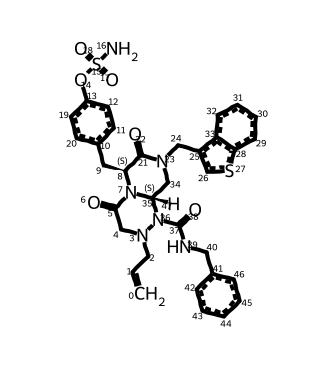 C=CCN1CC(=O)N2[C@@H](Cc3ccc(OS(N)(=O)=O)cc3)C(=O)N(Cc3csc4ccccc34)C[C@@H]2N1C(=O)NCc1ccccc1